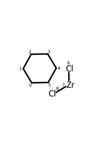 C1CCCCC1.[Cl][Zr][Cl]